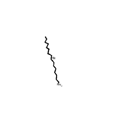 Br.CCCCCCCCCCCCCCCCN